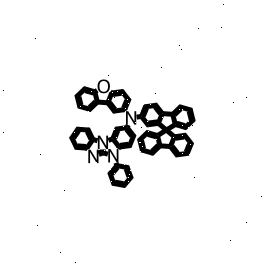 c1ccc(-n2c3ccc(N(c4ccc5c(c4)C4(c6ccccc6-c6ccccc64)c4ccccc4-5)c4ccc5oc6ccccc6c5c4)cc3n3c4ccccc4nc23)cc1